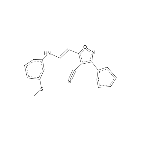 CSc1cccc(NC=Cc2onc(-c3ccccc3)c2C#N)c1